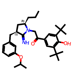 CCC[C@@H]1C[C@H](Cc2cccc(OC(C)C)c2)C(=N)N1CC(=O)c1cc(C(C)(C)C)c(O)c(C(C)(C)C)c1